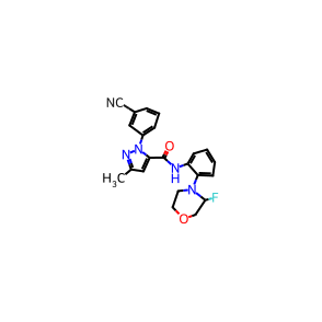 Cc1cc(C(=O)Nc2ccccc2N2CCOCC2F)n(-c2cccc(C#N)c2)n1